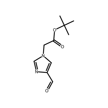 CC(C)(C)OC(=O)Cn1cnc(C=O)c1